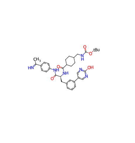 CC(=N)c1ccc(NC(=O)[C@H](Cc2cccc(-c3cnc(O)nc3)c2)NC(=O)C2CCC(CNC(=O)OC(C)(C)C)CC2)cc1